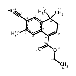 C#Cc1cc2c(cc1C)C(C(=O)OCC)=CCC2(C)C